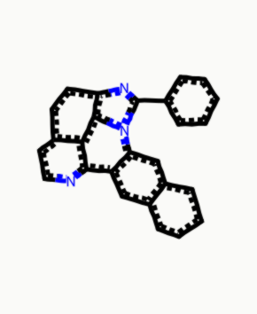 c1ccc(-c2nc3ccc4ccnc5c6cc7ccccc7cc6n2c3c45)cc1